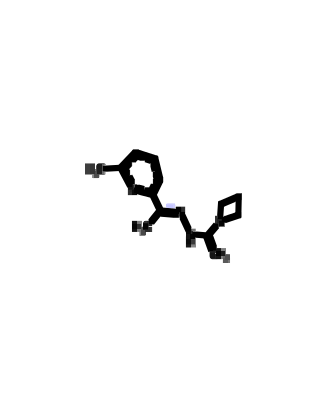 C=C(N/N=C(\C)c1cccc(C)n1)N1CCC1